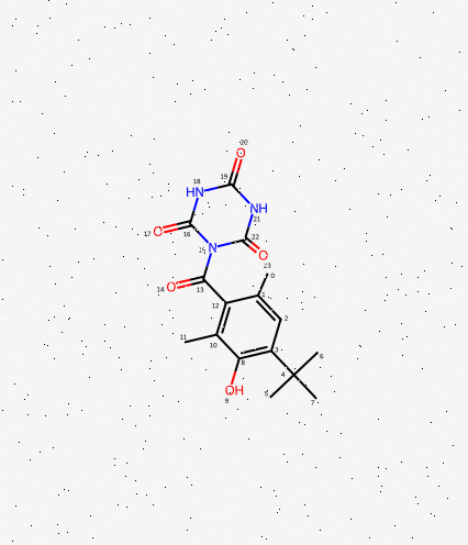 Cc1cc(C(C)(C)C)c(O)c(C)c1C(=O)n1c(=O)[nH]c(=O)[nH]c1=O